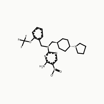 Nc1nc(N(Cc2ccccc2OC(F)(F)F)C[C@H]2CC[C@H](N3CCCC3)CC2)ncc1[N+](=O)[O-]